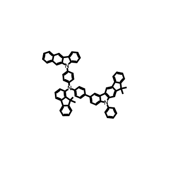 CC1(C)c2ccccc2-c2cc3c4cc(-c5ccc(N(c6ccc(-n7c8ccccc8c8cc9ccccc9cc87)cc6)c6cccc7c6C(C)(C)c6ccccc6-7)cc5)ccc4n(-c4ccccc4)c3cc21